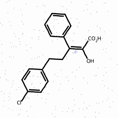 O=C(O)/C(O)=C(/CCc1ccc(Cl)cc1)c1ccccc1